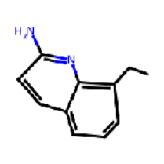 CCc1cccc2ccc(N)nc12